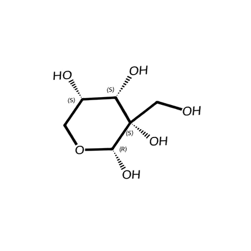 OC[C@@]1(O)[C@H](O)OC[C@H](O)[C@@H]1O